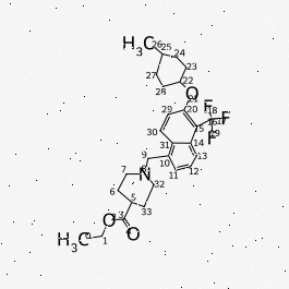 CCOC(=O)C1CCN(Cc2cccc3c(C(F)(F)F)c(OC4CCC(C)CC4)ccc23)CC1